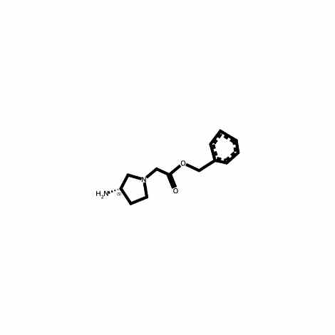 N[C@H]1CCN(CC(=O)OCc2ccccc2)C1